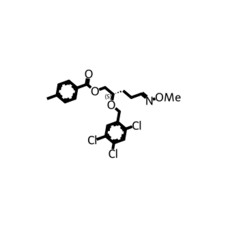 CON=CCC[C@@H](COC(=O)c1ccc(C)cc1)OCc1cc(Cl)c(Cl)cc1Cl